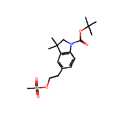 CC(C)(C)OC(=O)N1CC(C)(C)c2cc(CCOS(C)(=O)=O)ccc21